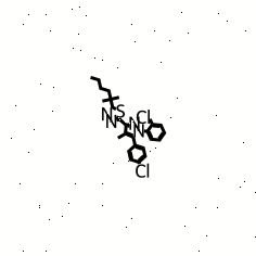 CCCCC(C)(C)c1nnc(-c2nn(-c3ccccc3Cl)c(-c3ccc(Cl)cc3)c2C)s1